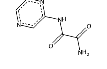 NC(=O)C(=O)Nc1cnccn1